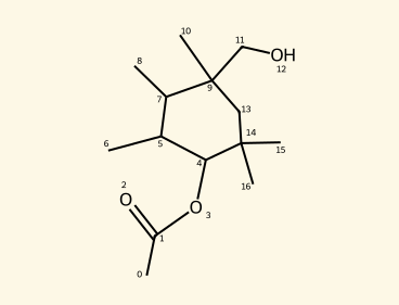 CC(=O)OC1C(C)C(C)C(C)(CO)CC1(C)C